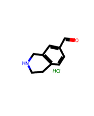 Cl.O=Cc1ccc2c(c1)CNCC2